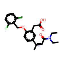 CCN(CC)C(=O)/C=C(/C)c1ccc(OCc2c(F)cccc2F)c(CC(=O)O)c1